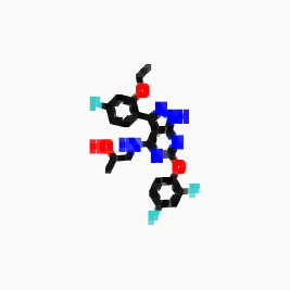 CCOc1cc(F)ccc1-c1n[nH]c2nc(Oc3ccc(F)cc3F)nc(NCC(C)O)c12